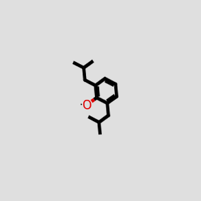 CC(C)Cc1cccc(CC(C)C)c1[O]